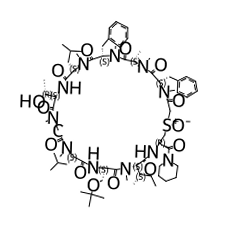 CC[C@H](C)[C@H]1C(=O)N[C@H](C(=O)N2CCCCC2)C[S+]([O-])CC(=O)N(C)[C@@H](Cc2ccccc2)C(=O)N(C)[C@@H](C)C(=O)N(C)[C@@H](Cc2ccccc2)C(=O)N(C)[C@@H](CC(C)C)C(=O)N[C@@H]([C@@H](C)O)C(=O)N(C)CC(=O)N(C)[C@@H](CC(C)C)C(=O)N[C@@H](COC(C)(C)C)C(=O)N1C